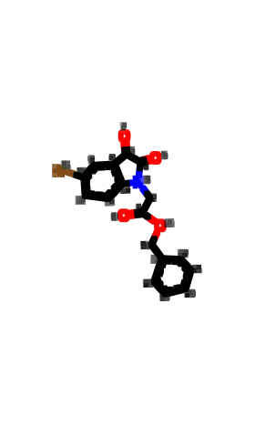 O=C(CN1C(=O)C(=O)c2cc(Br)ccc21)OCc1ccccc1